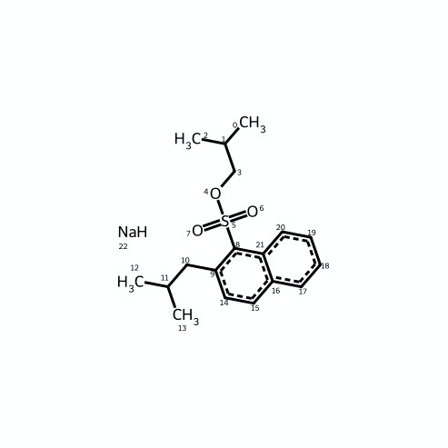 CC(C)COS(=O)(=O)c1c(CC(C)C)ccc2ccccc12.[NaH]